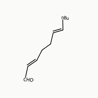 CCCCC=CCCC=C[C]=O